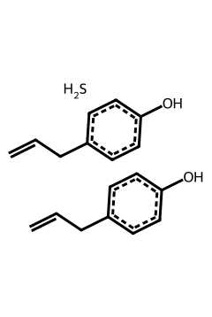 C=CCc1ccc(O)cc1.C=CCc1ccc(O)cc1.S